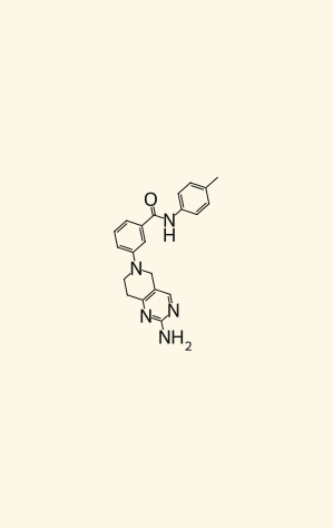 Cc1ccc(NC(=O)c2cccc(N3CCc4nc(N)ncc4C3)c2)cc1